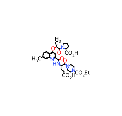 CCOC(=O)N1CCN(C(=O)[C@H](CCC(=O)O)NC(=O)c2cc(O[C@H](C)C(=O)N3CCC[C@H]3C(=O)O)c3ccc(C)cc3n2)CC1